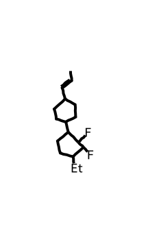 CC=CC1CCC(C2CCC(CC)C(F)C2F)CC1